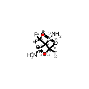 NS(=O)(=O)C(C(F)(F)F)(C(F)(F)F)S(N)(=O)=O